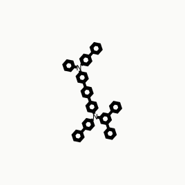 c1ccc(-c2ccc(N(c3ccccc3)c3ccc(-c4ccc(-c5ccc(N(c6ccc(-c7ccccc7)cc6)c6cc(-c7ccccc7)cc(-c7ccccc7)c6)cc5)cc4)cc3)cc2)cc1